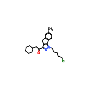 Cc1ccc2c(c1)Cc1c(C(=O)CC3CCCCC3)nn(CCCCCCl)c1-2